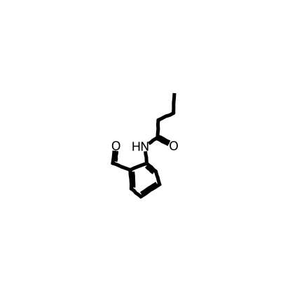 CCCC(=O)Nc1ccccc1C=O